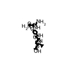 CC(C)(O)COc1ccc2c(C(=O)N[C@H]3CC[C@H](OC4NN(CCN)C=C4C(N)=O)CC3)cnn2c1C1CC1